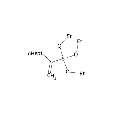 C=C(CCCCCCC)[Si](OCC)(OCC)OCC